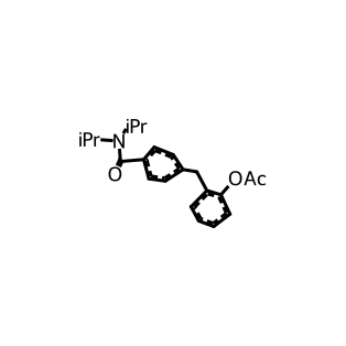 CC(=O)Oc1ccccc1Cc1ccc(C(=O)N(C(C)C)C(C)C)cc1